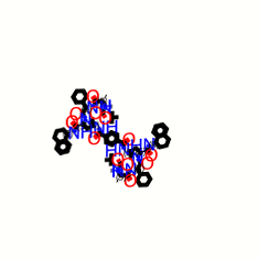 C[C@@H](C(=O)N[C@H](C(=O)N1C[C@@H](NC(=O)c2ccc(C(=O)N[C@H]3C[C@@H](C(=O)N[C@@H]4CCCc5ccccc54)N(C(=O)[C@@H](NC(=O)[C@H](C)N(C)C(=O)OC(C)(C)C)C4CCCCC4)C3)cc2)C[C@H]1C(=O)N[C@@H]1CCCc2ccccc21)C1CCCCC1)N(C)C(=O)OC(C)(C)C